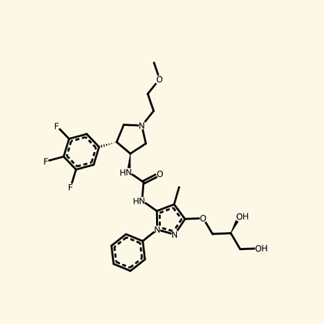 COCCN1C[C@@H](NC(=O)Nc2c(C)c(OC[C@@H](O)CO)nn2-c2ccccc2)[C@H](c2cc(F)c(F)c(F)c2)C1